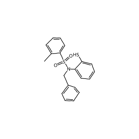 Cc1ccccc1S(=O)(=O)N(Cc1ccccc1)c1ccccc1S